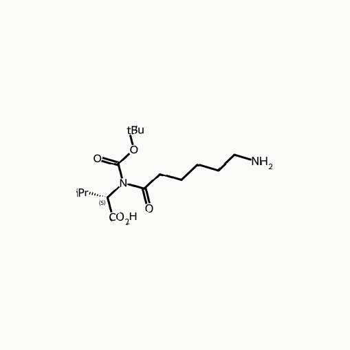 CC(C)[C@@H](C(=O)O)N(C(=O)CCCCCN)C(=O)OC(C)(C)C